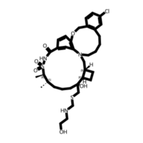 C[C@@H]1[C@@H](C)CCCC(O)(CSCNCCO)[C@@H]2CC[C@H]2CN2CCCCc3cc(Cl)ccc3COc3ccc(cc32)C(=O)NS1(=O)=O